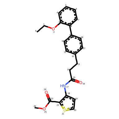 CCOc1ccccc1-c1ccc(CCC(=O)Nc2ccsc2C(=O)OC)cc1